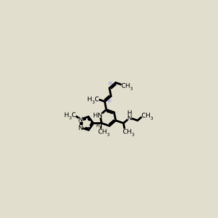 C/C=C\C=C(/C)C1=CC(C(C)NCC)=C[C@](C)(c2cnn(C)c2)N1